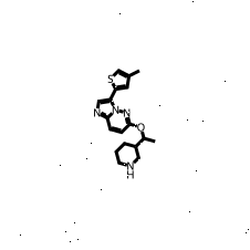 Cc1csc(-c2cnc3ccc(OC(C)C4CCCNC4)nn23)c1